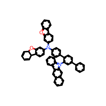 C1=CC2Oc3cc(N(c4ccc(-c5ccc(-c6ccccc6)cc5-n5c6ccccc6c6cc7ccccc7cc65)cc4)c4ccc5c(c4)oc4ccccc45)ccc3C2C=C1